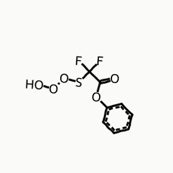 O=C(Oc1ccccc1)C(F)(F)SOOO